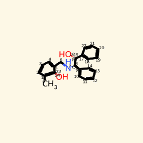 Cc1cccc(CN[C@@H](c2ccccc2)[C@H](O)c2ccccc2)c1O